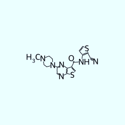 CN1CCN(c2cnc3scc(C(=O)Nc4ccsc4C#N)c3n2)CC1